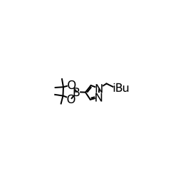 CCC(C)Cn1cc(B2OC(C)(C)C(C)(C)O2)cn1